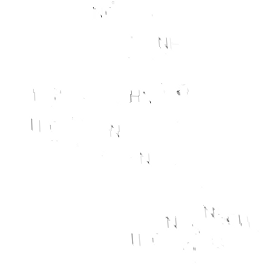 CN1CC(c2ccc(NC(=O)c3cc(C#N)c[nH]3)c(N3CCC(C)(C)CC3)n2)CN(C)S1(=O)=O